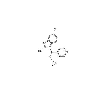 Cl.Clc1ccc2c(N(CC3CC3)c3ccncc3)csc2c1